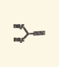 C#CC(C(=O)OCC)C(=O)OCC